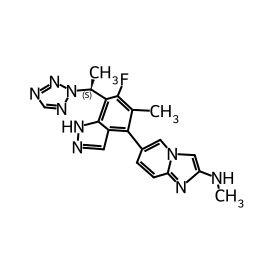 CNc1cn2cc(-c3c(C)c(F)c([C@H](C)n4ncnn4)c4[nH]ncc34)ccc2n1